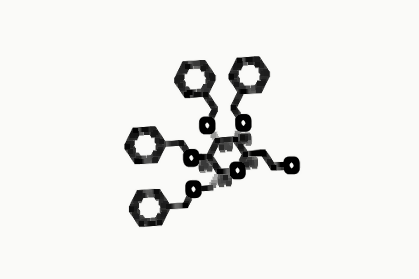 O=CC[C@H]1O[C@H](COCc2ccccc2)[C@@H](OCc2ccccc2)[C@H](OCc2ccccc2)[C@@H]1OCc1ccccc1